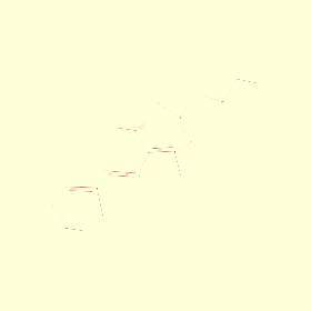 CCCSc1nc(Cl)c(N=Nc2ccccc2)c(Cl)n1